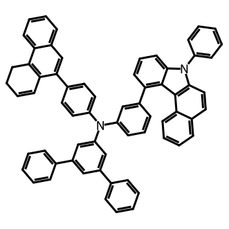 C1=Cc2c(-c3ccc(N(c4cc(-c5ccccc5)cc(-c5ccccc5)c4)c4cccc(-c5cccc6c5c5c7ccccc7ccc5n6-c5ccccc5)c4)cc3)cc3ccccc3c2CC1